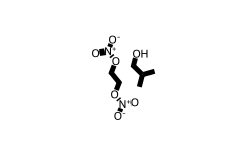 CC(C)CO.O=[N+]([O-])OCCO[N+](=O)[O-]